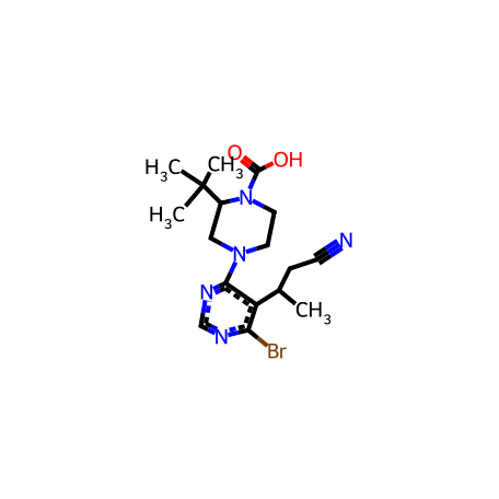 CC(CC#N)c1c(Br)ncnc1N1CCN(C(=O)O)C(C(C)(C)C)C1